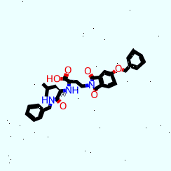 CC(C)C[C@@H](NC(CCN1C(=O)c2ccc(OCc3ccccc3)cc2C1=O)C(=O)O)C(=O)NCc1ccccc1